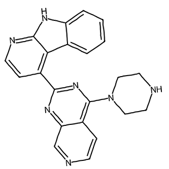 c1ccc2c(c1)[nH]c1nccc(-c3nc(N4CCNCC4)c4ccncc4n3)c12